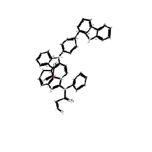 C=Cc1c(/C=C\n2c(N(C(=C)/C=C\CC)c3ccccc3)nc3c2C(C)CC=C3)n(-c2ccc(-c3cccc4c3oc3ccccc34)cc2)c2ccccc12